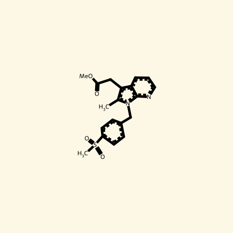 COC(=O)Cc1c(C)n(Cc2ccc(S(C)(=O)=O)cc2)c2ncccc12